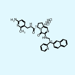 Cc1nc(N)ccc1CNC(=O)[C@@H]1CCc2cnc(NC[C@@H](c3ccc4ccccc4c3)c3ccccn3)c(=O)n21.Cl.Cl.Cl